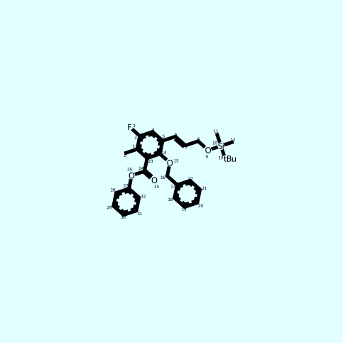 Cc1c(F)cc(/C=C/CO[Si](C)(C)C(C)(C)C)c(OCc2ccccc2)c1C(=O)Oc1ccccc1